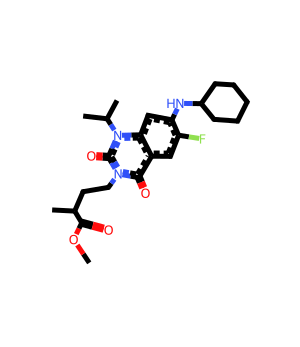 COC(=O)C(C)CCn1c(=O)c2cc(F)c(NC3CCCCC3)cc2n(C(C)C)c1=O